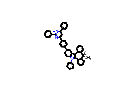 CC1(C)c2ccccc2-c2c3c(n(-c4ccccc4)c2-c2ccccc21)C=CC(c1ccc(C2=CC(c4ccccc4)NC(c4ccccc4)=N2)cc1)C3